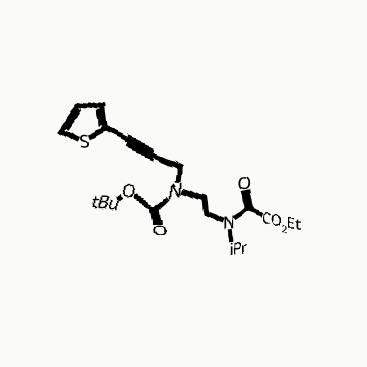 CCOC(=O)C(=O)N(CCN(CC#Cc1cccs1)C(=O)OC(C)(C)C)C(C)C